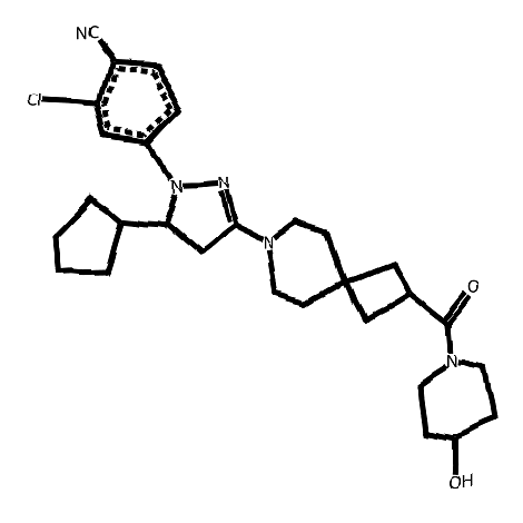 N#Cc1ccc(N2N=C(N3CCC4(CC3)CC(C(=O)N3CCC(O)CC3)C4)CC2C2CCCC2)cc1Cl